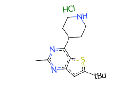 Cc1nc(C2CCNCC2)c2sc(C(C)(C)C)cc2n1.Cl